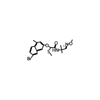 CO/N=C/C(C)(C)NC(=O)C(Oc1cc(C)c2ccc(Br)cc2c1)SC